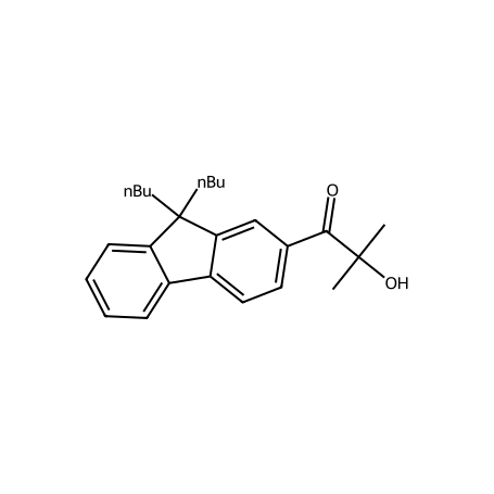 CCCCC1(CCCC)c2ccccc2-c2ccc(C(=O)C(C)(C)O)cc21